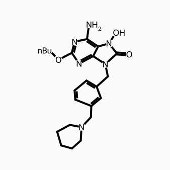 CCCCOc1nc(N)c2c(n1)n(Cc1cccc(CN3CCCCC3)c1)c(=O)n2O